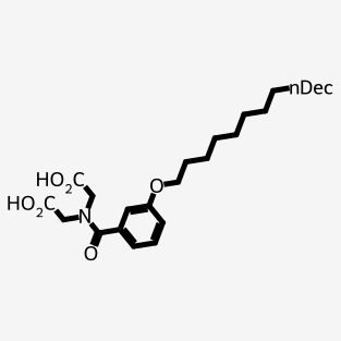 CCCCCCCCCCCCCCCCCCOc1cccc(C(=O)N(CC(=O)O)CC(=O)O)c1